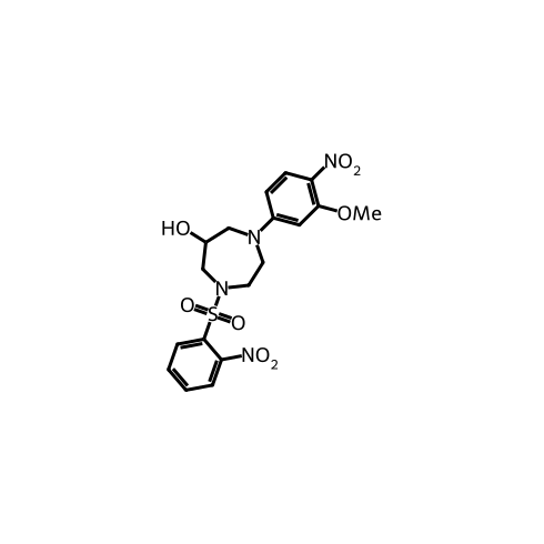 COc1cc(N2CCN(S(=O)(=O)c3ccccc3[N+](=O)[O-])CC(O)C2)ccc1[N+](=O)[O-]